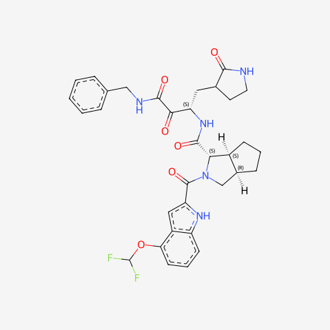 O=C(NCc1ccccc1)C(=O)[C@H](CC1CCNC1=O)NC(=O)[C@@H]1[C@H]2CCC[C@H]2CN1C(=O)c1cc2c(OC(F)F)cccc2[nH]1